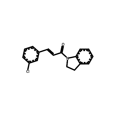 O=C(C=Cc1cccc(Cl)c1)N1CCc2ccccc21